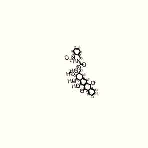 O=C(NCc1ccccc1[N+](=O)[O-])OCC1(O)Cc2cc3c(c(O)c2[C@H](O)[C@@H]1O)C(=O)c1ccccc1C3=O